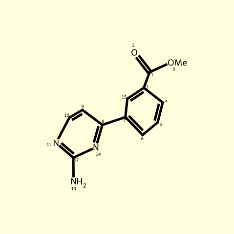 COC(=O)c1cccc(-c2ccnc(N)n2)c1